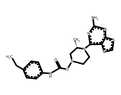 CCc1ccc(NC(=O)ON2CCN(c3nc(N)nc4scnc34)[C@@H](C)C2)cc1